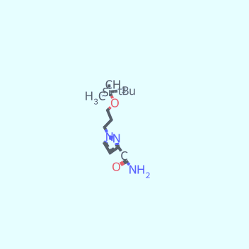 CC(C)(C)[Si](C)(C)OCCCn1ccc(CC(N)=O)n1